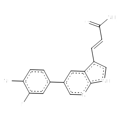 N#Cc1ccc(-c2cnc3[nH]cc(/C=C/C(N)=O)c3c2)cc1F